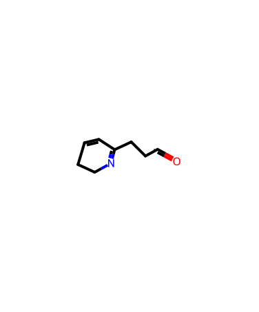 O=[C]CCC1=NCCC=C1